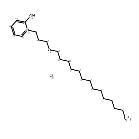 CCCCCCCCCCCCCCOCCC[n+]1ccccc1O.[Cl-]